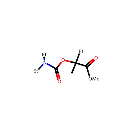 CCN(CC)C(=O)OC(C)(CC)C(=O)OC